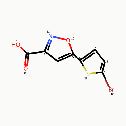 O=C(O)c1cc(-c2ccc(Br)s2)on1